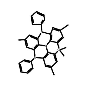 Cc1cc2c3c(c1)N(c1ccccc1)c1cc(C)cc4c1B3c1c(cc(C)cc1[Si]4(C)C)N2c1ccccc1